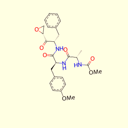 COC(=O)N[C@@H](C)C(=O)N[C@@H](Cc1ccc(OC)cc1)C(=O)N[C@@H](Cc1ccccc1)C(=O)[C@H]1CO1